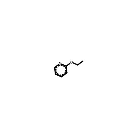 C[C]Oc1ccccn1